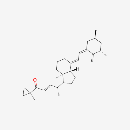 C=C1/C(=C\C=C2/CCC[C@]3(C)[C@@H]([C@H](C)/C=C/C(=O)C4(C)CC4)CC[C@@H]23)C[C@@H](C)C[C@@H]1C